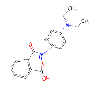 CCN(CC)c1ccc(NC(=O)c2ccccc2C(=O)O)cc1